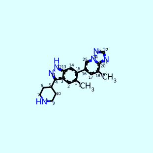 Cc1cc2c(C3CCNCC3)n[nH]c2cc1-c1cc(C)c2ncnn2c1